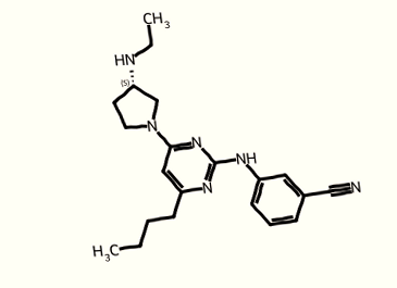 CCCCc1cc(N2CC[C@H](NCC)C2)nc(Nc2cccc(C#N)c2)n1